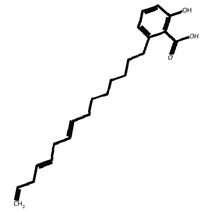 C=CC/C=C/C/C=C/CCCCCCCc1cccc(O)c1C(=O)O